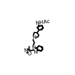 CC(=O)Nc1cccc(C2CCN(CCCn3c(-c4ocnc4C)nc4ccccc43)CC2)c1